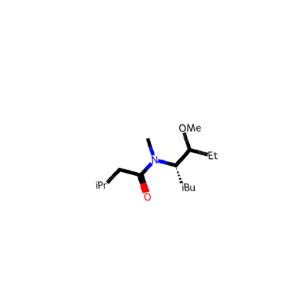 CCC(C)[C@@H](C(CC)OC)N(C)C(=O)CC(C)C